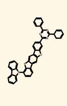 C1=CCC(c2nc(-c3ccccc3)nc(-c3ccc4c(c3)oc3cc5c(cc34)sc3c(-n4c6ccccc6c6ccccc64)cccc35)n2)C=C1